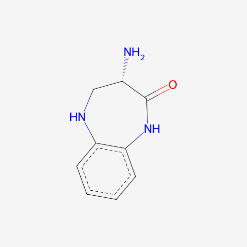 N[C@H]1CNc2ccccc2NC1=O